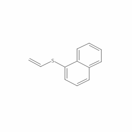 C=CSc1cccc2ccccc12